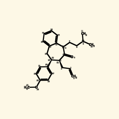 C=CC[C@@H]1C(=O)N(CCN(C)C)c2ccccc2C[C@@H]1c1ccc(OC)cc1